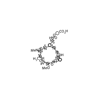 CNC(=O)C[C@@H]1NC(=O)c2csc(n2)-c2ccc(-c3nc(NC(=O)O[C@H]4CC[C@@H](C(=O)O)CC4)cs3)nc2-c2csc(n2)-c2csc(n2)[C@H]([C@@H](O)c2ccccc2)NC(=O)CNC(=O)c2nc(sc2COC)[C@H](C(C)C)NC(=O)c2nc1sc2C